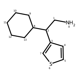 NCC(c1ccsc1)C1CCCCC1